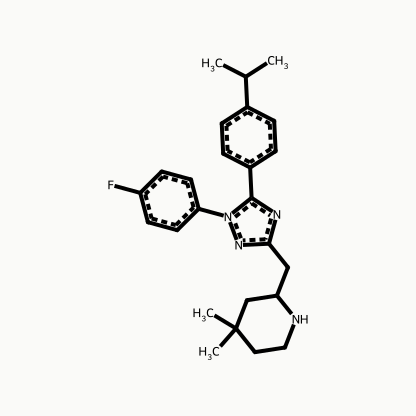 CC(C)c1ccc(-c2nc(CC3CC(C)(C)CCN3)nn2-c2ccc(F)cc2)cc1